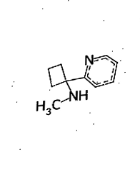 CNC1(c2ccccn2)CCC1